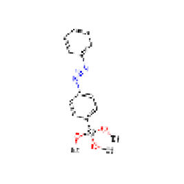 CCO[Si](OCC)(OCC)c1ccc(/N=N/c2ccccc2)cc1